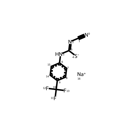 N#CN=C([S-])Nc1ccc(C(F)(F)F)cc1.[Na+]